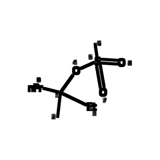 CCCC(C)(CC)OS(C)(=O)=O